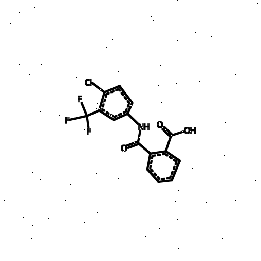 O=C(O)c1ccccc1C(=O)Nc1ccc(Cl)c(C(F)(F)F)c1